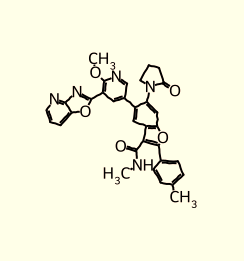 CNC(=O)c1c(-c2ccc(C)cc2)oc2cc(N3CCCC3=O)c(-c3cnc(OC)c(-c4nc5ncccc5o4)c3)cc12